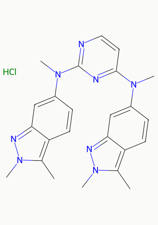 Cc1c2ccc(N(C)c3ccnc(N(C)c4ccc5c(C)n(C)nc5c4)n3)cc2nn1C.Cl